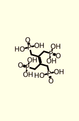 O=P(O)(O)CC(CP(=O)(O)O)=C(CP(=O)(O)O)CP(=O)(O)O